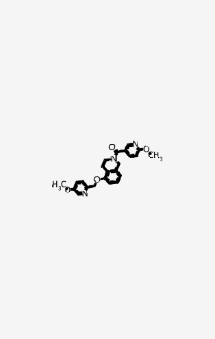 COc1ccc(COc2cccc3c2CCN(C(=O)c2ccc(OC)nc2)C3)nc1